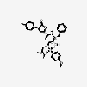 CC[C@H](C)CN(C[C@@H](O)[C@H](Cc1ccccc1)NC(=O)[C@@H]1CN(c2ccc(F)cc2)C(=O)O1)S(=O)(=O)c1ccc(OC)cc1